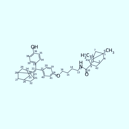 CC12CC3CC(C)(C1)CC(C(=O)NCCCCOc1ccc(C(=C4C5CC6CC(C5)CC4C6)c4ccc(O)cc4)cc1)(C3)C2